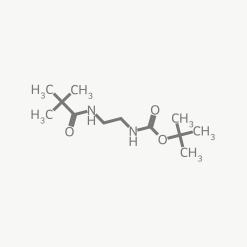 CC(C)(C)OC(=O)NCCNC(=O)C(C)(C)C